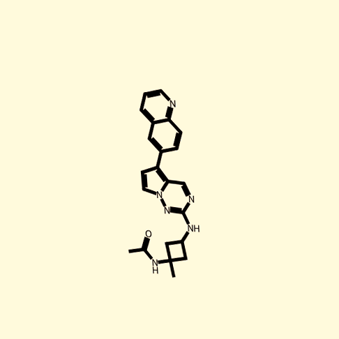 CC(=O)NC1(C)CC(Nc2ncc3c(-c4ccc5ncccc5c4)ccn3n2)C1